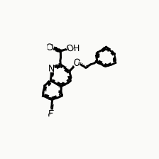 O=C(O)c1nc2ccc(F)cc2cc1OCc1ccccc1